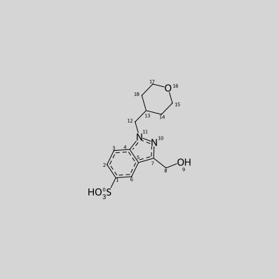 O=S(=O)(O)c1ccc2c(c1)c(CO)nn2CC1CCOCC1